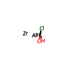 OCl.[AlH3].[Zr]